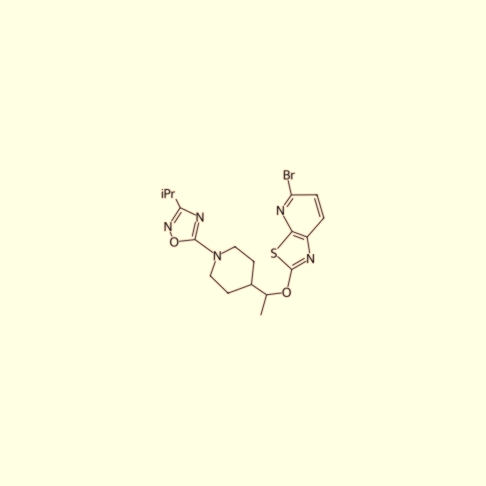 CC(C)c1noc(N2CCC(C(C)Oc3nc4ccc(Br)nc4s3)CC2)n1